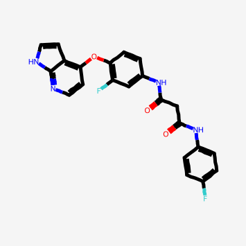 O=C(CC(=O)Nc1ccc(Oc2ccnc3[nH]ccc23)c(F)c1)Nc1ccc(F)cc1